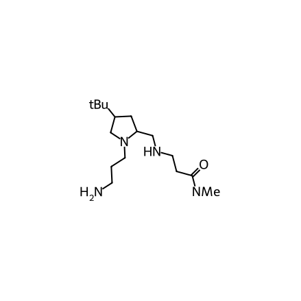 CNC(=O)CCNCC1CC(C(C)(C)C)CN1CCCN